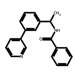 CC(NC(=O)c1ccccc1)c1cccc(-c2cccnc2)c1